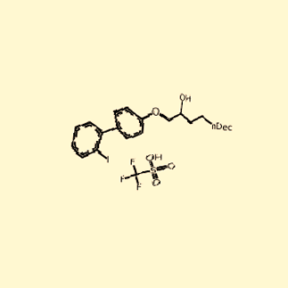 CCCCCCCCCCCCC(O)COc1ccc(-c2ccccc2I)cc1.O=S(=O)(O)C(F)(F)F